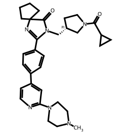 CN1CCN(c2cc(-c3ccc(C4=NC5(CCCC5)C(=O)N4C[C@@H]4CCN(C(=O)C5CC5)C4)cc3)ccn2)CC1